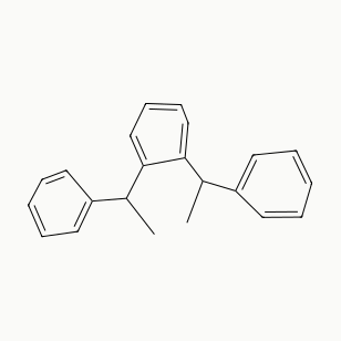 CC(c1ccccc1)c1ccccc1C(C)c1ccccc1